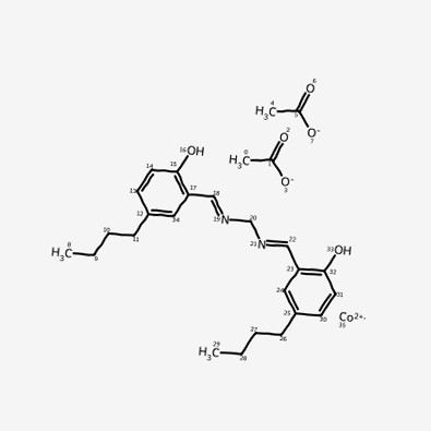 CC(=O)[O-].CC(=O)[O-].CCCCc1ccc(O)c(C=NCN=Cc2cc(CCCC)ccc2O)c1.[Co+2]